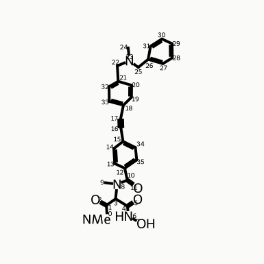 CNC(=O)C(C(=O)NO)N(C)C(=O)c1ccc(C#Cc2ccc(CN(C)Cc3ccccc3)cc2)cc1